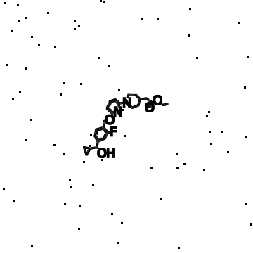 CCOC(=O)CC1CCN(c2cccc(OCc3ccc(C(O)C4CC4)cc3F)n2)CC1